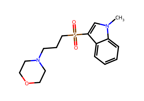 Cn1cc(S(=O)(=O)CCCN2CCOCC2)c2ccccc21